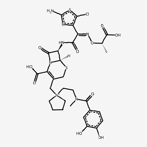 C[C@H](O/N=C(\C(=O)N[C@@H]1C(=O)N2C(C(=O)O)=C(C[N+]3(CCN(C)C(=O)c4ccc(O)c(O)c4)CCCC3)CS[C@H]12)c1nc(N)sc1Cl)C(=O)O